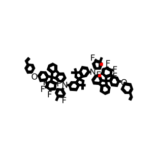 C=Cc1ccc(Oc2ccc(C3(c4c(F)c(F)c(F)c(F)c4F)c4ccccc4-c4ccc(N(c5ccc(C)c(F)c5)c5ccc6c(c5)C5(CC6(C)C)CC(C)(C)c6ccc(N(c7ccc(C)c(F)c7)c7ccc8c(c7)C(c7ccc(Oc9ccc(C=C)cc9)cc7)(c7c(F)c(F)c(F)c(F)c7F)c7ccccc7-8)cc65)cc43)cc2)cc1